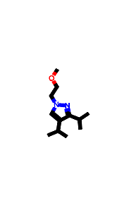 COCCn1cc(C(C)C)c(C(C)C)n1